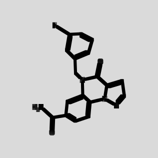 NC(=O)c1ccc2c(c1)n(Cc1cccc(F)c1)c(=O)c1ccnn12